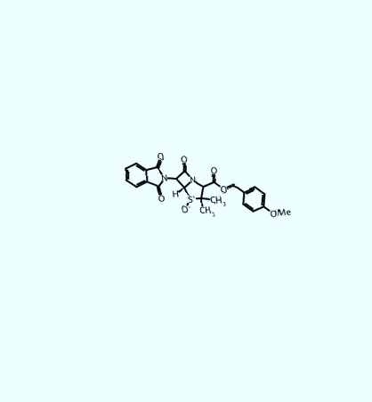 COc1ccc(COC(=O)C2N3C(=O)C(N4C(=O)c5ccccc5C4=O)[C@H]3[S+]([O-])C2(C)C)cc1